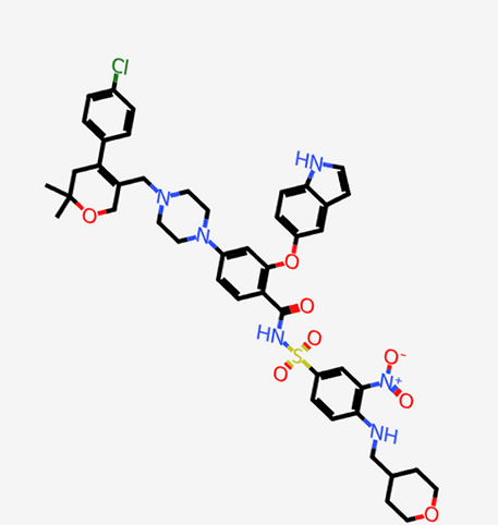 CC1(C)CC(c2ccc(Cl)cc2)=C(CN2CCN(c3ccc(C(=O)NS(=O)(=O)c4ccc(NCC5CCOCC5)c([N+](=O)[O-])c4)c(Oc4ccc5[nH]ccc5c4)c3)CC2)CO1